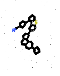 N#Cc1ccc(-c2cccc3sc4ccc(-c5ccc6ccc7c(c6c5)CC=C(c5ccccc5)C=C7)cc4c23)cc1